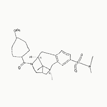 COC1CCC(C(=O)N2CC[C@]3(C)c4cc(S(=O)(=O)N(C)C)ccc4C[C@H]2C3(C)C)CC1